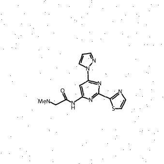 CNCC(=O)Nc1cc(-n2cccn2)nc(-c2nccs2)n1